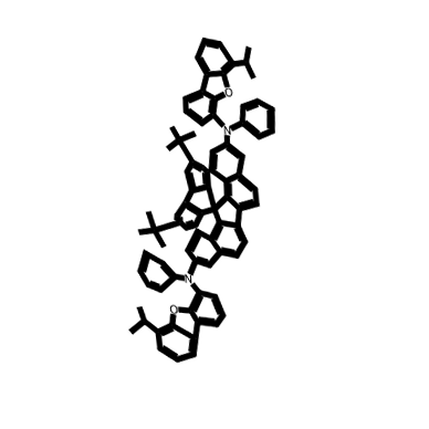 CC(C)c1cccc2c1oc1c(N(c3ccccc3)c3ccc4c5c(ccc4c3)-c3ccc4cc(N(c6ccccc6)c6cccc7c6oc6c(C(C)C)cccc67)ccc4c3C53c4ccc(C(C)(C)C)cc4-c4cc(C(C)(C)C)ccc43)cccc12